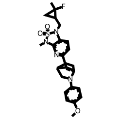 COc1ccc(N2CC3CCC2C=C3c2ccc3c(n2)N(C)S(=O)(=O)N3CC2CC2(C)F)cc1